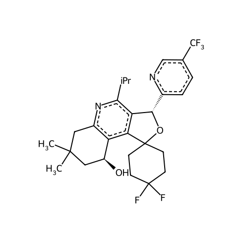 CC(C)c1nc2c(c3c1[C@H](c1ccc(C(F)(F)F)cn1)OC31CCC(F)(F)CC1)[C@@H](O)CC(C)(C)C2